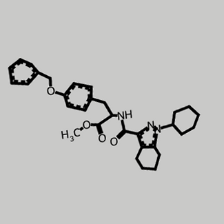 COC(=O)C(Cc1ccc(OCc2ccccc2)cc1)NC(=O)c1nn(C2CCCCC2)c2c1CCCC2